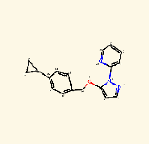 c1ccc(-n2nccc2OCc2ccc(C3CC3)cc2)nc1